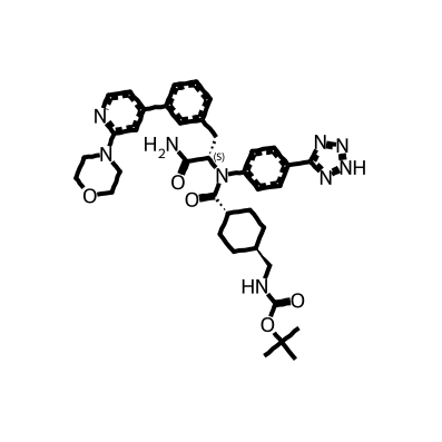 CC(C)(C)OC(=O)NC[C@H]1CC[C@H](C(=O)N(c2ccc(-c3nn[nH]n3)cc2)[C@@H](Cc2cccc(-c3ccnc(N4CCOCC4)c3)c2)C(N)=O)CC1